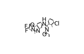 C=CC(=O)N1CC(Nc2ccc3c(=O)n(CC(F)(F)F)c(C)nc3c2)(c2cccc(Cl)c2C)C1